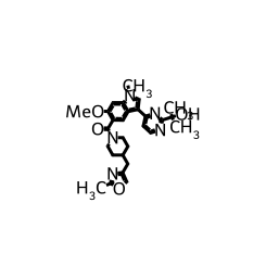 COc1cc2c(cc1C(=O)N1CCC(Cc3coc(C)n3)CC1)c(-c1ccnc(C(C)(C)O)n1)cn2C